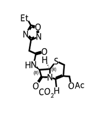 CCc1nc(CC(=O)N[C@@H]2C(=O)N3C(C(=O)O)=C(COC(C)=O)CS[C@H]23)no1